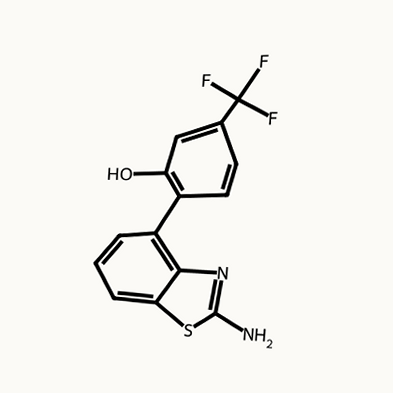 Nc1nc2c(-c3ccc(C(F)(F)F)cc3O)cccc2s1